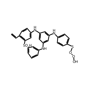 C=Cc1ccc(Nc2cc(Nc3ccccc3)cc(Nc3ccc(SOOO)cc3)c2)cc1S(=O)(=O)O